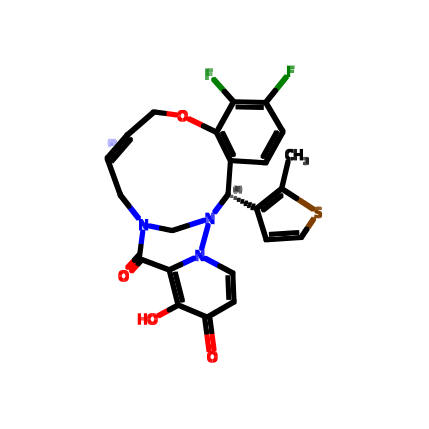 Cc1sccc1[C@H]1c2ccc(F)c(F)c2OC/C=C\CN2CN1n1ccc(=O)c(O)c1C2=O